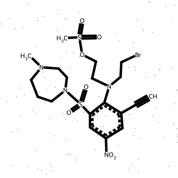 C#Cc1cc([N+](=O)[O-])cc(S(=O)(=O)N2CCCN(C)CC2)c1N(CCBr)CCOS(C)(=O)=O